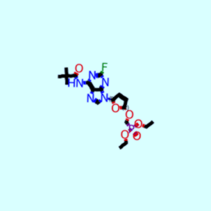 CCOP(=O)(CO[C@@H]1C=C[C@H](n2cnc3c(NC(=O)C(C)(C)C)nc(F)nc32)O1)OCC